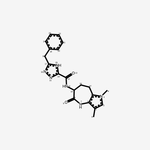 Cc1cn(C)c2c1NC(=O)C(NC(=O)c1nnc(Cc3ccccc3)[nH]1)CC2